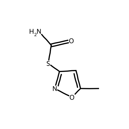 Cc1cc(SC(N)=O)no1